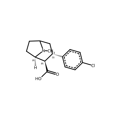 CN1C2CC[C@@H]1[C@H](C(=O)O)[C@@H](c1ccc(Cl)cc1)C2